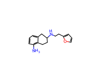 Nc1cccc2c1CCC(NCCc1ccco1)C2